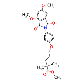 COC(=O)C(C)(C)CCCOc1ccc(N2C(=O)c3cc(OC)cc(OC)c3C2=O)cc1